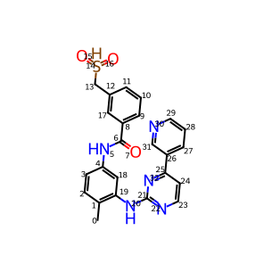 Cc1ccc(NC(=O)c2cccc(C[SH](=O)=O)c2)cc1Nc1nccc(-c2cccnc2)n1